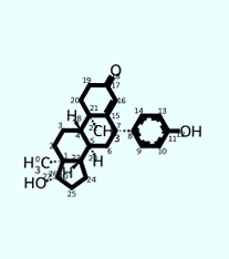 C[C@]12CC[C@H]3[C@@H](C[C@@H](c4ccc(O)cc4)C4=CC(=O)CC[C@@]43C)[C@@H]1CC[C@@H]2O